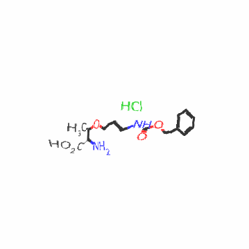 C[C@H](OCCCNC(=O)OCc1ccccc1)[C@H](N)C(=O)O.Cl